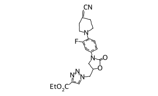 CCOC(=O)c1cn(CC2CN(c3ccc(N4CCC(=CC#N)CC4)c(F)c3)C(=O)O2)nn1